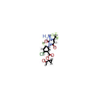 CC(=O)C1(OC(=O)c2cc(-n3c(=O)cc(C(F)(F)F)n(N)c3=O)c(F)cc2Cl)CC1